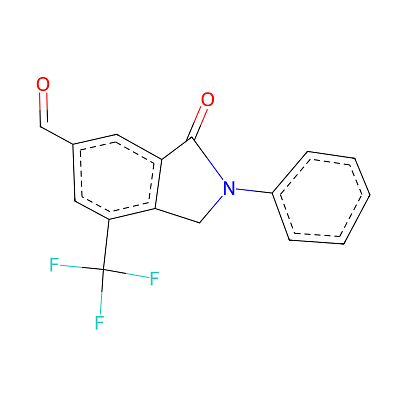 O=Cc1cc2c(c(C(F)(F)F)c1)CN(c1ccccc1)C2=O